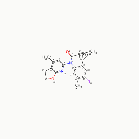 CC#CC(=O)N(c1cc(C)c2c(n1)OCC2)c1cc(C)c(I)cc1C1CC1